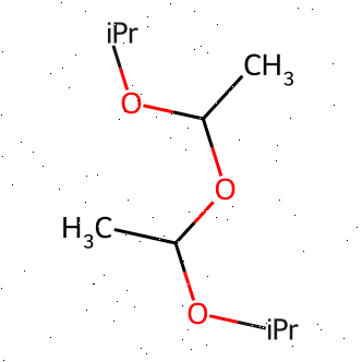 CC(C)OC(C)OC(C)OC(C)C